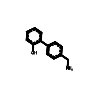 NCc1ccc(-c2cc[c]cc2O)cc1